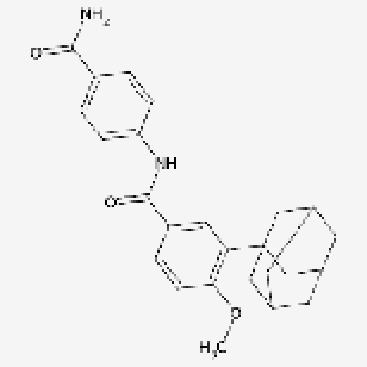 COc1ccc(C(=O)Nc2ccc(C(N)=O)cc2)cc1C12CC3CC(CC(C3)C1)C2